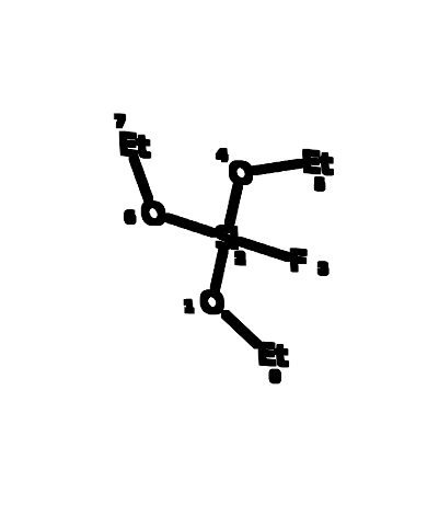 CCO[Si](F)(OCC)OCC